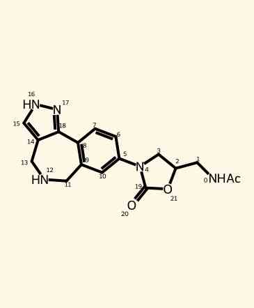 CC(=O)NCC1CN(c2ccc3c(c2)CNCc2c[nH]nc2-3)C(=O)O1